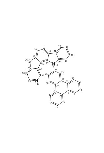 c1ccc2c(c1)c1ccccc1c1cc(-n3c4ccccc4c4ccc5sc6ncncc6c5c43)ccc21